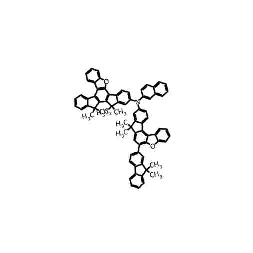 CC1(C)c2ccccc2-c2ccc(-c3cc4c(c5c3oc3ccccc35)-c3ccc(N(c5ccc6c(c5)C(C)(C)c5c7c(c8c(oc9ccccc98)c5-6)-c5ccccc5C7(C)C)c5ccc6ccccc6c5)cc3C4(C)C)cc21